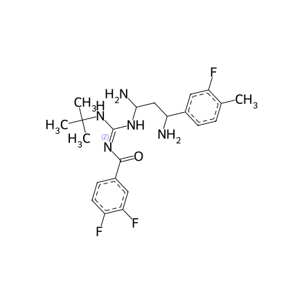 Cc1ccc(C(N)CC(N)N/C(=N\C(=O)c2ccc(F)c(F)c2)NC(C)(C)C)cc1F